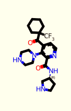 O=C(N[C@@H]1CCNC1)c1nccc(C(=O)C2(C(F)(F)F)CCCCC2)c1N1CCNCC1